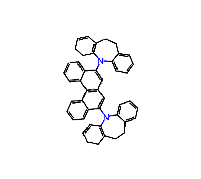 C1=CC2=C(CC1)CCc1ccccc1N2c1cc2cc(N3C4=C(C=CCC4)CCc4ccccc43)c3ccccc3c2c2ccccc12